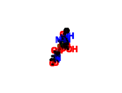 C=C/C(C(=O)OC)=c1/nnn([C@@H]2C/C(=C\OP(=S)(OCCC#N)O[C@H]3[C@@H](F)[C@H](n4cnc5c(NC(=O)c6ccccc6)ncnc54)O[C@@H]3CO)[C@H]2CO)/c1=C/C